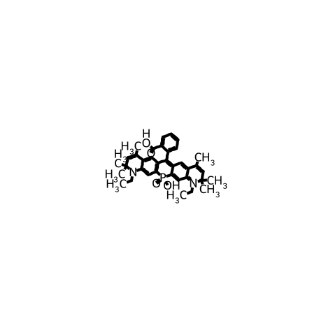 CCN1c2cc3c(cc2C(C)=CC1(C)C)C(c1ccccc1C(=O)O)=c1cc2c(cc1P3(=O)O)=[N+](CC)C(C)(C)C=C2C